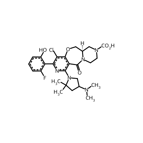 CN(C)C1CN(c2nc(-c3c(O)cccc3F)c(Cl)c3c2C(=O)N2CCN(C(=O)O)C[C@@H]2CO3)C(C)(C)C1